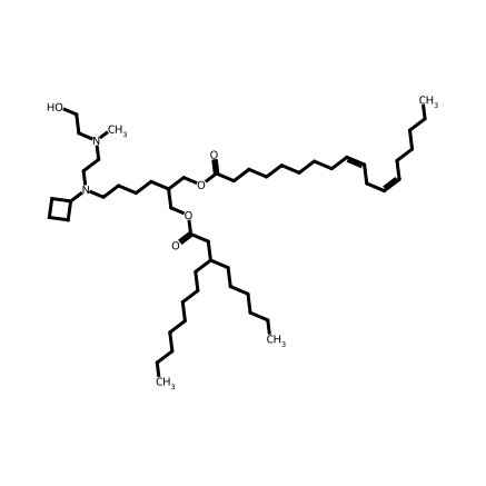 CCCCC/C=C\C/C=C\CCCCCCCC(=O)OCC(CCCCN(CCN(C)CCO)C1CCC1)COC(=O)CC(CCCCCC)CCCCCCCC